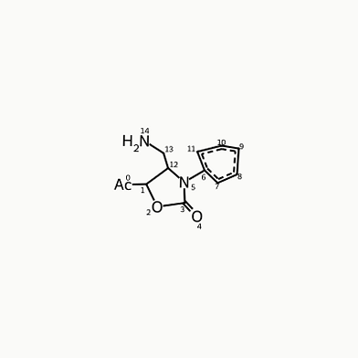 CC(=O)C1OC(=O)N(c2ccccc2)C1CN